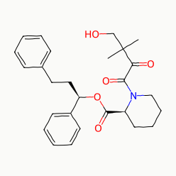 CC(C)(CO)C(=O)C(=O)N1CCCC[C@H]1C(=O)O[C@H](CCc1ccccc1)c1ccccc1